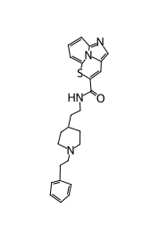 O=C(NCCC1CCN(CCc2ccccc2)CC1)C1=Cc2cnc3cccc(n23)S1